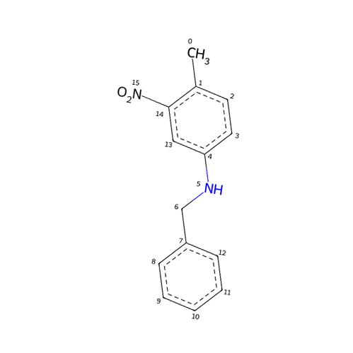 Cc1ccc(NCc2ccccc2)cc1[N+](=O)[O-]